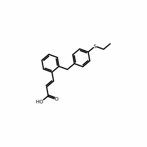 CCSc1ccc(Cc2ccccc2C=CC(=O)O)cc1